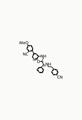 COc1ccc(-c2cnc3c(c2)NC[C@@H]([C@H](NCCc2ccc(C#N)cc2)c2ccccc2)O3)c(C#N)c1